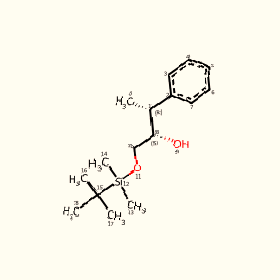 C[C@H](c1ccccc1)[C@H](O)CO[Si](C)(C)C(C)(C)C